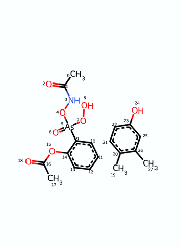 CC(=O)NO[As](=O)(OO)c1ccccc1OC(C)=O.Cc1ccc(O)cc1C